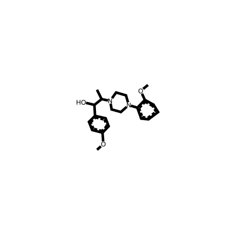 COc1ccc(C(O)C(C)N2CCN(c3ccccc3OC)CC2)cc1